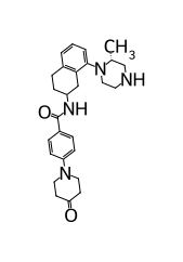 C[C@@H]1CNCCN1c1cccc2c1CC(NC(=O)c1ccc(N3CCC(=O)CC3)cc1)CC2